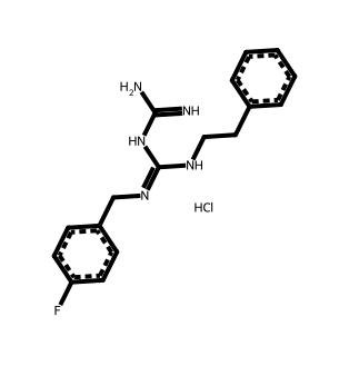 Cl.N=C(N)NC(=NCc1ccc(F)cc1)NCCc1ccccc1